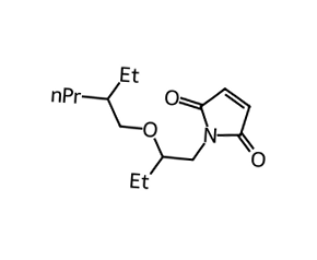 CCCC(CC)COC(CC)CN1C(=O)C=CC1=O